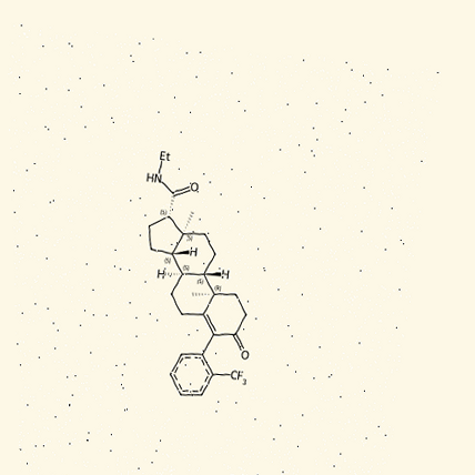 CCNC(=O)[C@H]1CC[C@H]2[C@@H]3CCC4=C(c5ccccc5C(F)(F)F)C(=O)CC[C@]4(C)[C@H]3CC[C@]12C